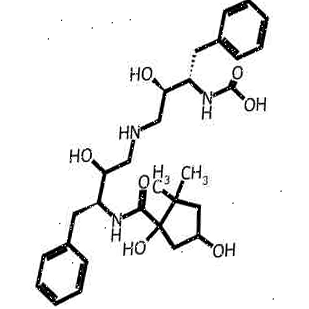 CC1(C)CC(O)CC1(O)C(=O)N[C@@H](Cc1ccccc1)C(O)CNC[C@@H](O)[C@H](Cc1ccccc1)NC(=O)O